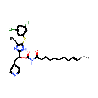 CCCCCCCCC=CCCCCCCCC(=O)NC(=O)OC(Cc1ccncc1)c1nc(C(C)C)c(Sc2cc(Cl)cc(Cl)c2)[nH]1